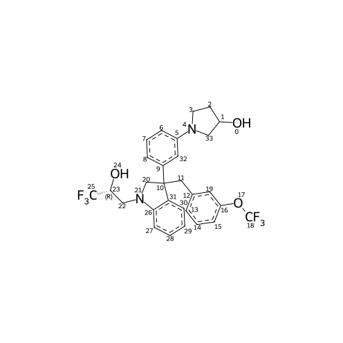 OC1CCN(c2cccc(C3(Cc4cccc(OC(F)(F)F)c4)CN(C[C@@H](O)C(F)(F)F)c4ccccc43)c2)C1